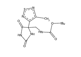 Cc1nsnc1C1(CNC(=O)OC(C)(C)C)NC(=O)NC1=O